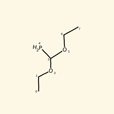 CCOC(P)OCC